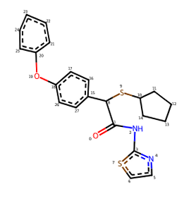 O=C(Nc1nccs1)C(SC1CCCC1)c1ccc(Oc2ccccc2)cc1